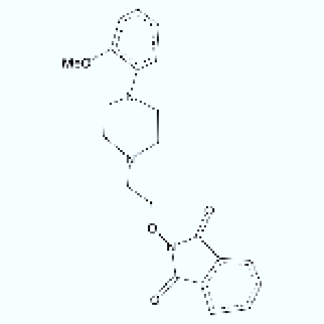 COc1ccccc1N1CCN(CCON2C(=O)c3ccccc3C2=O)CC1